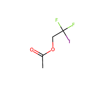 CC(=O)OCC(F)(F)I